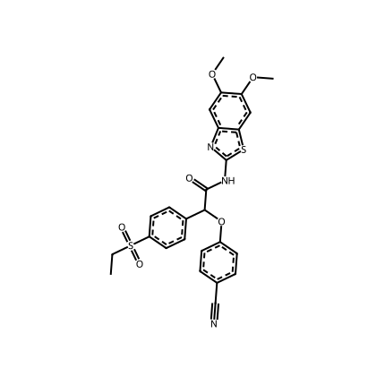 CCS(=O)(=O)c1ccc(C(Oc2ccc(C#N)cc2)C(=O)Nc2nc3cc(OC)c(OC)cc3s2)cc1